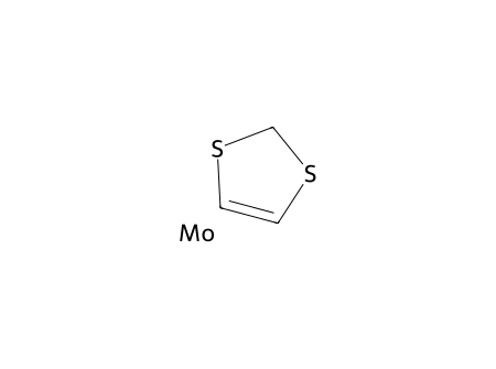 C1=CSCS1.[Mo]